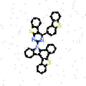 c1ccc2c(c1)sc1ccc(-c3nc(-n4c5ccccc5c5c6c7ccccc7sc6c6ccccc6c54)nc4sc5ccccc5c34)cc12